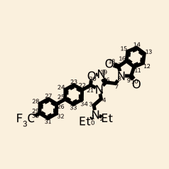 CCN(CC)CCN1C(CN2C(=O)c3ccccc3C2=O)=NOC1c1ccc(-c2ccc(C(F)(F)F)cc2)cc1